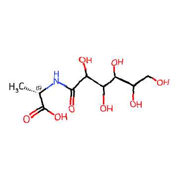 C[C@H](NC(=O)C(O)C(O)C(O)C(O)CO)C(=O)O